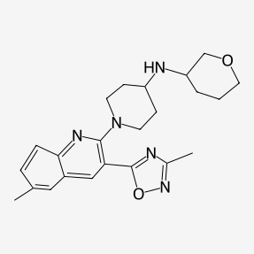 Cc1ccc2nc(N3CCC(NC4CCCOC4)CC3)c(-c3nc(C)no3)cc2c1